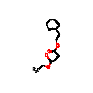 C=COC(=O)/C=C\C(=O)OC=Cc1ccccc1